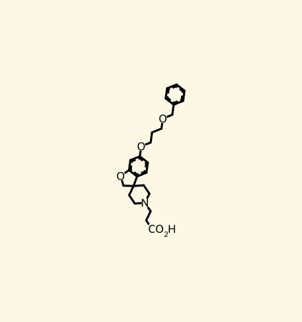 O=C(O)CCN1CCC2(CC1)COc1cc(OCCCOCc3ccccc3)ccc12